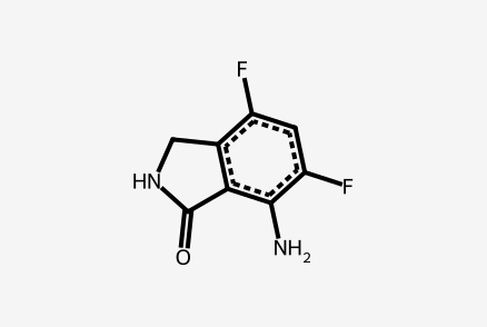 Nc1c(F)cc(F)c2c1C(=O)NC2